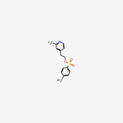 Cc1ccc(S(=O)(=O)OCCc2ccnc(C(F)(F)F)c2)cc1